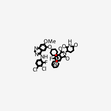 COc1cc2ncnc(Nc3ccc(Cl)c(Cl)c3F)c2cc1OC1CCC(CN2CC3CC(C2)N3c2cc3c(cc2F)C(=O)N(C2CCC(=O)NC2=O)C3=O)CC1